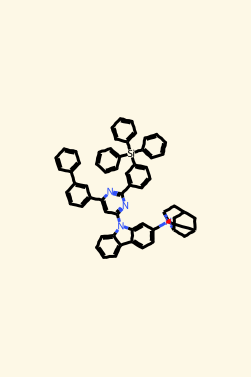 c1ccc(-c2cccc(-c3cc(-n4c5ccccc5c5ccc(N6C7CC8CC(C7)CC6C8)cc54)nc(-c4cccc([Si](c5ccccc5)(c5ccccc5)c5ccccc5)c4)n3)c2)cc1